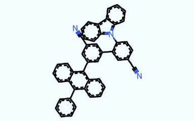 N#Cc1cc(-c2cc(C#N)ccc2-n2c3ccccc3c3ccccc32)cc(-c2c3ccccc3c(-c3ccccc3)c3ccccc23)c1